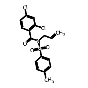 C=CCN(C(=O)c1ccc(Cl)cc1Cl)S(=O)(=O)c1ccc(C)cc1